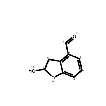 O=Cc1cccc2c1CC(O)O2